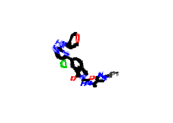 CC(NC(=O)CN1Cc2ccc(-c3nc(NC4CCOCC4)ncc3Cl)cc2C1=O)c1cnn(C(C)C)c1